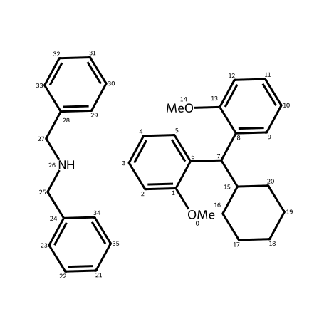 COc1ccccc1C(c1ccccc1OC)C1CCCCC1.c1ccc(CNCc2ccccc2)cc1